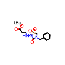 CC(C)(C)OC(=O)CCNN1C(=O)N(Cc2ccccc2)CS1(=O)=O